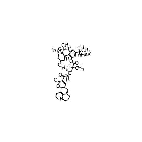 CCCCCCC(C)(C)c1cc(OC(=O)C(C)(C)CCNC(=O)c2cc3cc4c5c(c3oc2=O)CCCN5CCC4)c2c(c1)OC(C)(C)[C@@H]1CCC(=O)C[C@@H]21